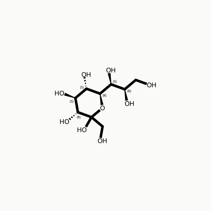 OC[C@@H](O)[C@H](O)[C@H]1OC(O)(CO)[C@H](O)[C@@H](O)[C@@H]1O